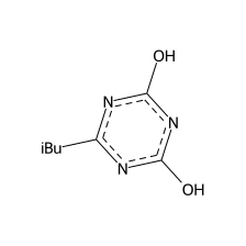 CCC(C)c1nc(O)nc(O)n1